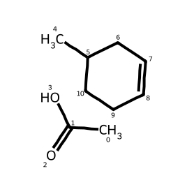 CC(=O)O.CC1CC=CCC1